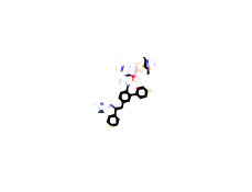 CSCC[C@H](NC(=O)c1ccc(C=C(Cn2ccnc2)c2ccc(F)cc2)cc1-c1ccc(F)cc1)C(=O)NS(=O)(=O)c1c(C)noc1C